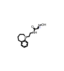 O=C(/C=N/O)NCCN1CCCCc2ccccc21